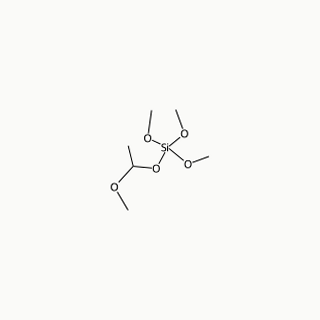 COC(C)O[Si](OC)(OC)OC